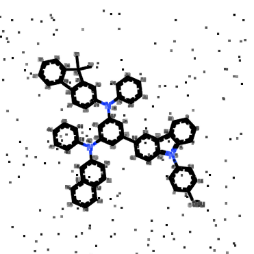 CC(C)(C)c1ccc(-n2c3ccccc3c3cc(-c4cc(N(c5ccccc5)c5ccc6c(c5)C(C)(C)c5ccccc5-6)cc(N(c5ccccc5)c5ccc6ccccc6c5)c4)ccc32)cc1